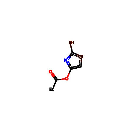 CCC(=O)Oc1csc(S)n1